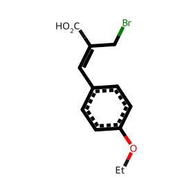 CCOc1ccc(/C=C(\CBr)C(=O)O)cc1